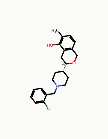 Cc1ccc2c(c1O)C[C@@H](C1CCN(Cc3ccccc3Cl)CC1)OC2